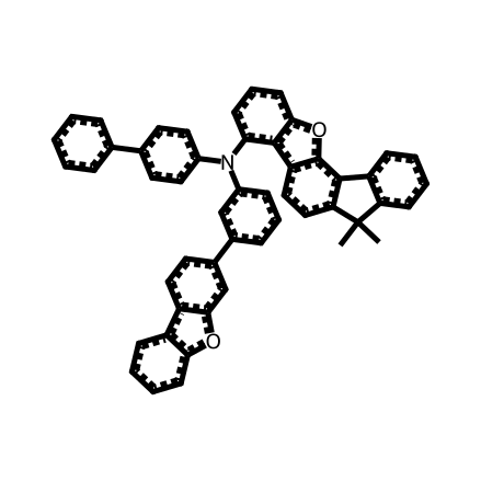 CC1(C)c2ccccc2-c2c1ccc1c2oc2cccc(N(c3ccc(-c4ccccc4)cc3)c3cccc(-c4ccc5c(c4)oc4ccccc45)c3)c21